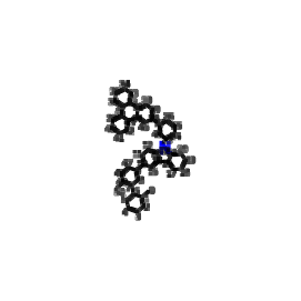 Cc1ccccc1-c1cc(-c2ccc3c(c2)c2ccccc2n3-c2cccc(-c3ccc4c5ccccc5c5ccccc5c4c3)c2)ccc1C